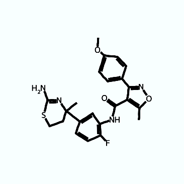 COc1ccc(-c2noc(C)c2C(=O)Nc2cc(C3(C)CCSC(N)=N3)ccc2F)cc1